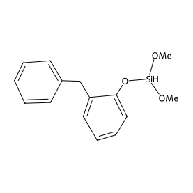 CO[SiH](OC)Oc1ccccc1Cc1ccccc1